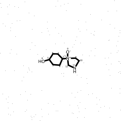 [O-][N+]1(C2CCC(O)CC2)CCNC1